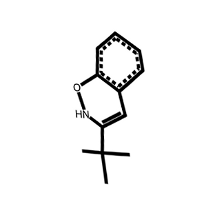 CC(C)(C)C1=Cc2ccccc2ON1